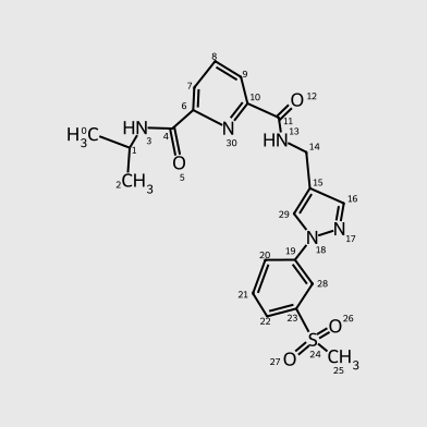 CC(C)NC(=O)c1cccc(C(=O)NCc2cnn(-c3cccc(S(C)(=O)=O)c3)c2)n1